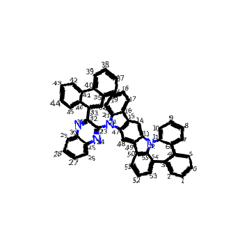 c1ccc2c(c1)-c1ccccc1-n1c3cc4c5ccccc5n(-c5nc6ccccc6nc5-c5cc6ccccc6c6ccccc56)c4cc3c3cccc-2c31